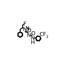 O=C([N-]c1c[n+](C(CF)Cc2ccccc2)no1)Nc1cccc(C(F)(F)F)c1